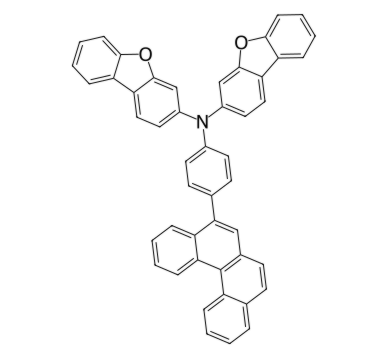 c1ccc2c(c1)ccc1cc(-c3ccc(N(c4ccc5c(c4)oc4ccccc45)c4ccc5c(c4)oc4ccccc45)cc3)c3ccccc3c12